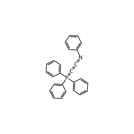 C(=C=P(c1ccccc1)(c1ccccc1)c1ccccc1)=Nc1ccccc1